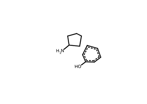 NC1CCCC1.Oc1ccccc1